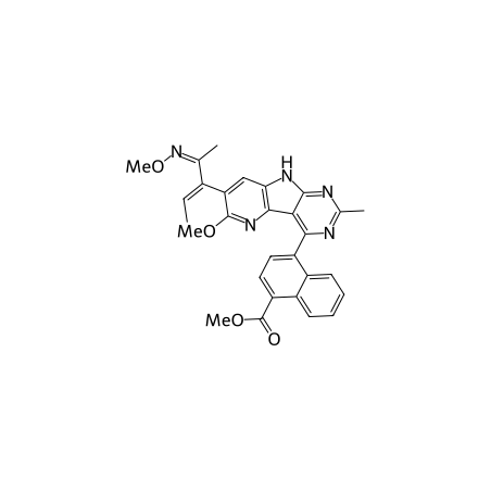 C/C=C(/C(C)=N\OC)c1cc2[nH]c3nc(C)nc(-c4ccc(C(=O)OC)c5ccccc45)c3c2nc1OC